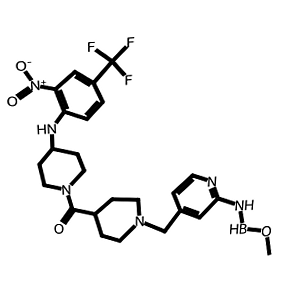 COBNc1cc(CN2CCC(C(=O)N3CCC(Nc4ccc(C(F)(F)F)cc4[N+](=O)[O-])CC3)CC2)ccn1